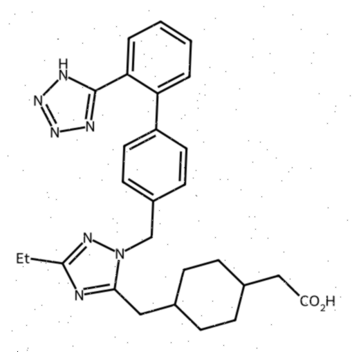 CCc1nc(CC2CCC(CC(=O)O)CC2)n(Cc2ccc(-c3ccccc3-c3nnn[nH]3)cc2)n1